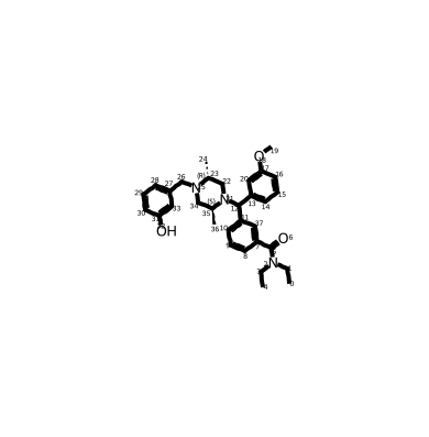 CCN(CC)C(=O)c1cccc(C(c2cccc(OC)c2)N2C[C@@H](C)N(Cc3cccc(O)c3)C[C@@H]2C)c1